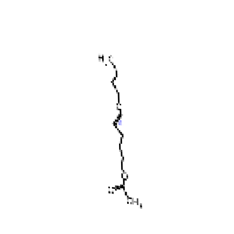 CCCCC/C=C/CCCCOC(C)=O